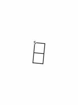 C1CC2SCC12